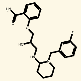 NC(=O)c1ccccc1OCC(O)CNC1CCCCN1Cc1cccc(F)c1